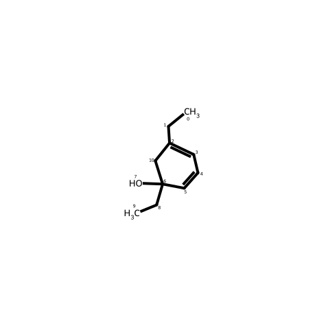 CCC1=CC=CC(O)(CC)C1